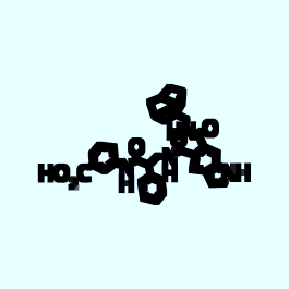 O=C(O)c1cccc(NC(=O)C(CNC(=O)c2cc3cc[nH]c3cc2C(=O)NCC23CC4CC(CC(C4)C2)C3)c2ccccc2)c1